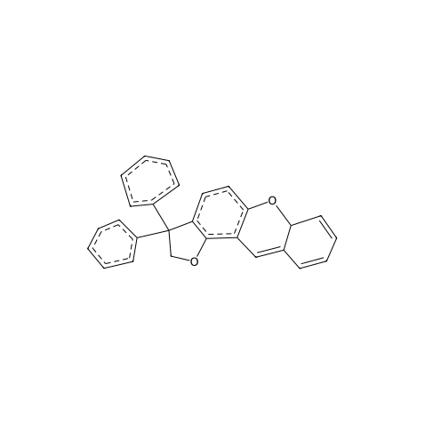 C1=CC2=Cc3c(ccc4c3OCC4(c3ccccc3)c3ccccc3)OC2C=C1